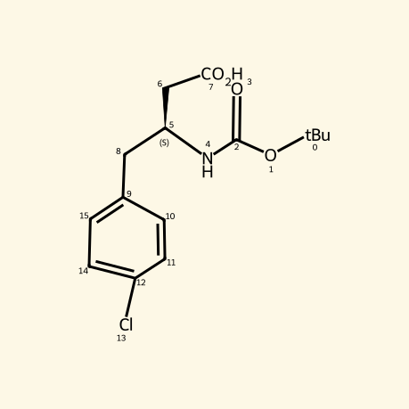 CC(C)(C)OC(=O)N[C@H](CC(=O)O)Cc1ccc(Cl)cc1